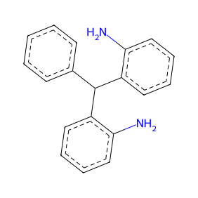 Nc1ccccc1C(c1ccccc1)c1ccccc1N